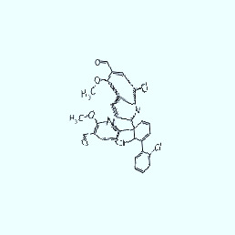 COc1nc(C2(c3ccc4c(OC)c(C=O)cc(Cl)c4n3)C=CC=C(c3ccccc3Cl)C2Cl)ccc1C=O